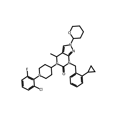 CC1c2cn(C3CCCCO3)nc2N(Cc2ccccc2C2CC2)C(=O)N1C1CCN(c2c(F)cccc2Cl)CC1